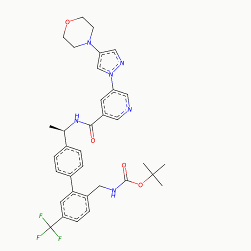 C[C@@H](NC(=O)c1cncc(-n2cc(N3CCOCC3)cn2)c1)c1ccc(-c2cc(C(F)(F)F)ccc2CNC(=O)OC(C)(C)C)cc1